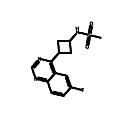 CS(=O)(=O)NC1CC(c2ncnc3ccc(F)cc23)C1